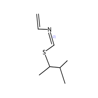 C=C/N=C\SC(C)C(C)C